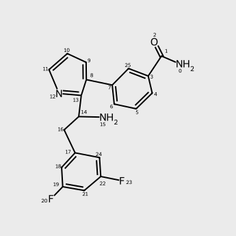 NC(=O)c1cccc(-c2cccnc2C(N)Cc2cc(F)cc(F)c2)c1